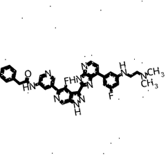 CN(C)CCNc1cc(F)cc(-c2ccnc3[nH]c(-c4n[nH]c5cnc(-c6cncc(NC(=O)Cc7ccccc7)c6)c(F)c45)nc23)c1